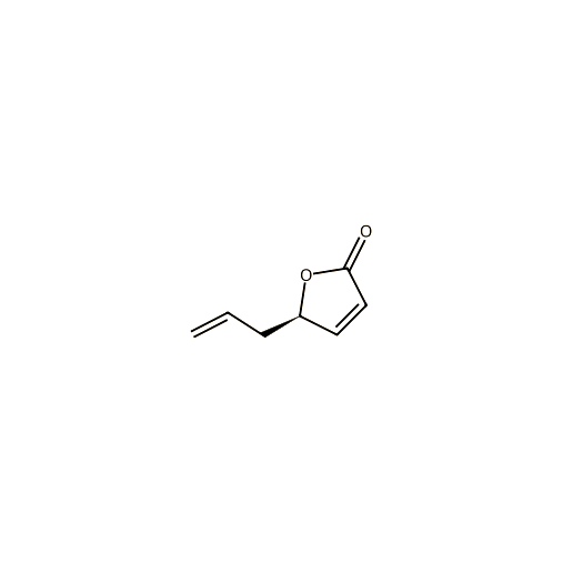 C=CC[C@@H]1C=CC(=O)O1